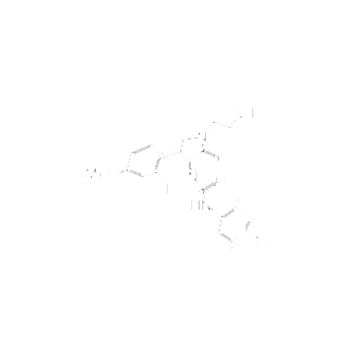 COc1ccc(C2CN(CCO)C(=O)C2NC(=O)Nc2ccc(F)cc2)c(F)c1